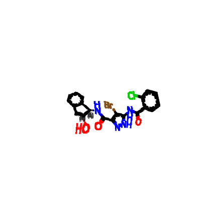 O=C(Nc1[nH]nc(C(=O)N[C@H]2c3ccccc3C[C@H]2O)c1Br)c1ccccc1Cl